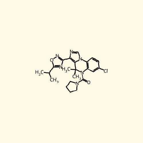 CC(C)c1nc(-c2ncn3c2C(C)(C)N(C(=O)N2CCCC2)c2cc(Cl)ccc2-3)no1